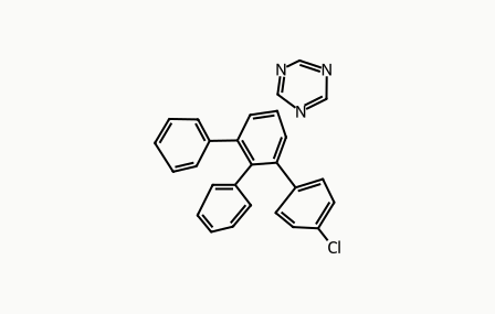 Clc1ccc(-c2cccc(-c3ccccc3)c2-c2ccccc2)cc1.c1ncncn1